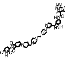 CC1=C(C(=O)Nc2ccc3[nH]nc(-c4ccnc(N5CCN(CCN6CCN(CC7CCN(c8ccc9c(c8)C(=O)N(C8CCC(=O)NC8=O)C9=O)CC7)CC6)CC5)c4)c3c2)[C@@H](C)n2nnnc2N1C